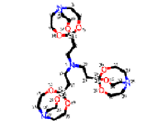 C1CN2CCO[Si](CCN(CC[Si]34OCCN(CCO3)CCO4)CC[Si]34OCCN(CCO3)CCO4)(O1)OCC2